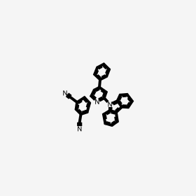 N#Cc1cccc(C#N)c1.c1ccc(-c2ccnc(-n3c4ccccc4c4ccccc43)c2)cc1